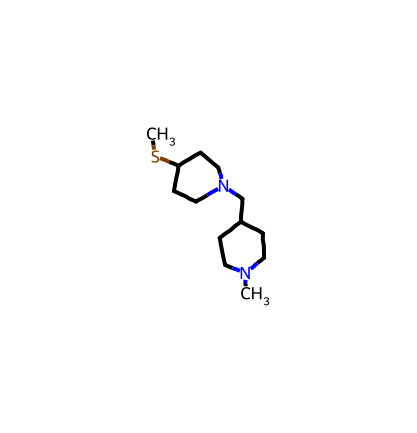 CSC1CCN(CC2CCN(C)CC2)CC1